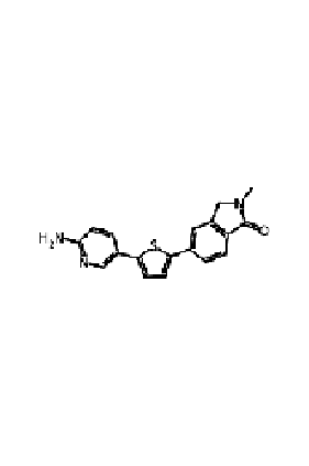 CN1Cc2cc(-c3ccc(-c4ccc(N)nc4)s3)ccc2C1=O